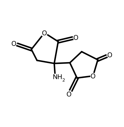 NC1(C2CC(=O)OC2=O)CC(=O)OC1=O